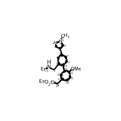 CCNCc1cc(-c2cnn(C)c2)ccc1-c1cc(CC(=O)OCC)ccc1OC